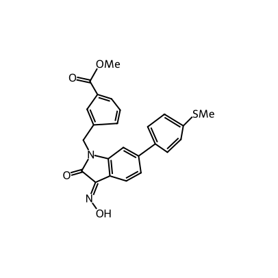 COC(=O)c1cccc(CN2C(=O)/C(=N/O)c3ccc(-c4ccc(SC)cc4)cc32)c1